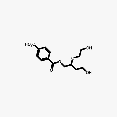 O=C(O)c1ccc(C(=O)OCC(CCO)OCCO)cc1